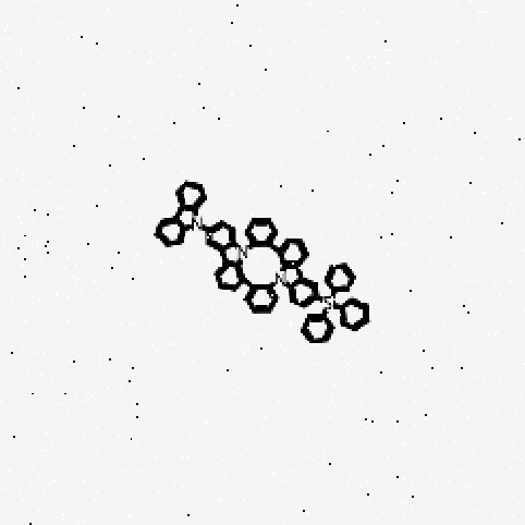 c1ccc([Si](c2ccccc2)(c2ccccc2)c2ccc3c(c2)c2cccc4c5ccccc5n5c6ccc(-n7c8ccccc8c8ccccc87)cc6c6cccc(c7ccccc7n3c42)c65)cc1